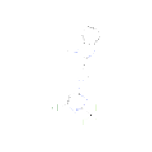 Cn1c(C2CN(c3cc(Cl)nc(C(F)(F)F)n3)C2)nc2ccccc21